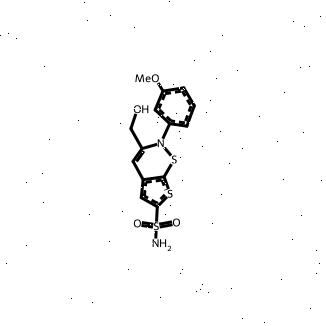 COc1cccc(N2Sc3sc(S(N)(=O)=O)cc3C=C2CO)c1